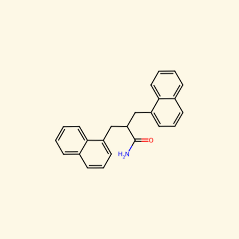 NC(=O)C(Cc1cccc2ccccc12)Cc1cccc2ccccc12